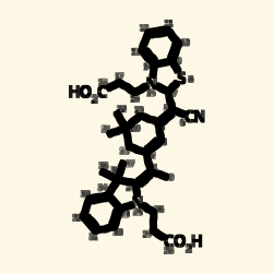 C/C(C1=C/C(=C(\C#N)C2Sc3ccccc3N2CCC(=O)O)CC(C)(C)C1)=C1\N(CCC(=O)O)c2ccccc2C1(C)C